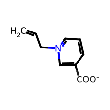 C=CC[n+]1cccc(C(=O)[O-])c1